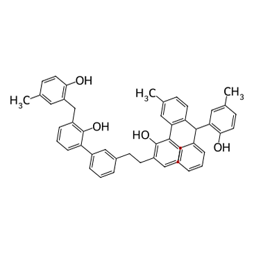 Cc1ccc(O)c(Cc2cccc(-c3cccc(CCc4cccc(-c5cc(C)ccc5C(c5ccccc5)c5cc(C)ccc5O)c4O)c3)c2O)c1